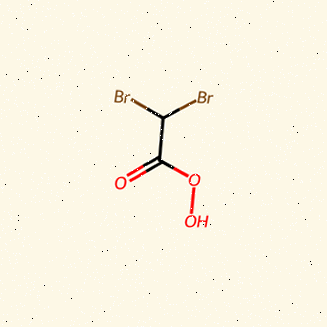 O=C(OO)C(Br)Br